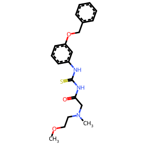 COCCN(C)CC(=O)NC(=S)Nc1cccc(OCc2ccccc2)c1